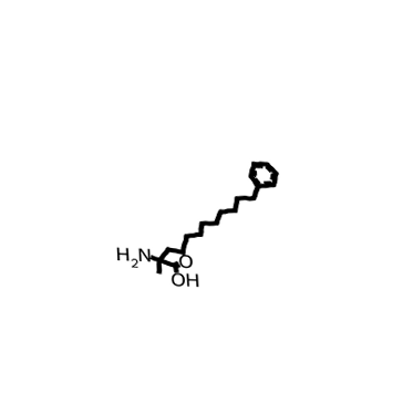 CC(N)(CCCCCCCCCCc1ccccc1)C(=O)O